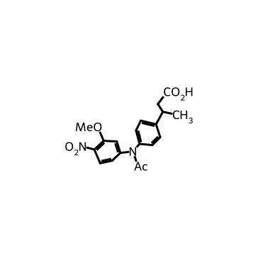 COc1cc(N(C(C)=O)c2ccc(C(C)CC(=O)O)cc2)ccc1[N+](=O)[O-]